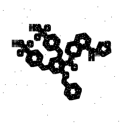 O=C(c1c(Cc2ccc(S(=O)(=O)O)cc2)cc(Cc2ccc(S(=O)(=O)O)cc2)cc1OCc1ccccc1)N1CCc2cccc(N[C@@H]3CCOC3)c2C1